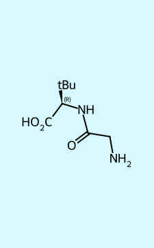 CC(C)(C)[C@@H](NC(=O)CN)C(=O)O